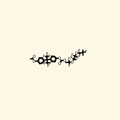 CC(=O)Oc1ccc(C(c2ccc(OC(=O)OCC(F)(F)OC(F)(F)C(F)(F)OC(F)(F)C(C)(C)F)cc2)(C(F)(F)F)C(F)(F)F)cc1